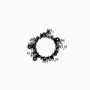 CCCC[C@H]1C(=O)N(C)[C@@H](CCCC)C(=O)N[C@@H](CN)C(=O)N[C@H](C(=O)NCC(N)=O)CSCC(=O)N[C@@H](Cc2ccc(O)cc2)C(=O)N(C)[C@@H](C)C(=O)N[C@@H](CC(=O)O)C(=O)N2CCC[C@H]2C(=O)N[C@@H](CN)C(=O)N[C@@H](CC(=O)O)C(=O)N2C[C@H](O)C[C@H]2C(=O)N[C@@H](Cc2c[nH]c3ccccc23)C(=O)N[C@@H](CCN)C(=O)N[C@@H](Cc2csc3ccccc23)C(=O)N1C